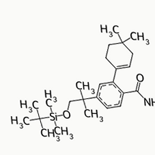 CC1(C)CC=C(c2cc(C(C)(C)CO[Si](C)(C)C(C)(C)C)ccc2C(N)=O)CC1